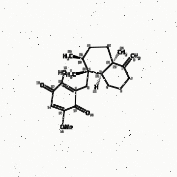 C=C1CCC[C@H]2[C@](C)(CC3=C(O)C(=O)C=C(OC)C3=O)[C@@H](C)CC[C@@]12C